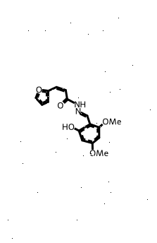 COc1cc(O)c(/C=N/NC(=O)/C=C\c2ccco2)c(OC)c1